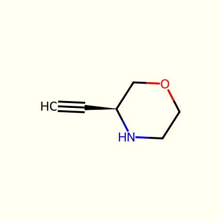 C#C[C@H]1COCCN1